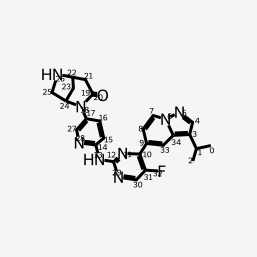 CC(C)c1cnn2ccc(-c3nc(Nc4ccc(N5C(=O)CC6CC5CN6)cn4)ncc3F)cc12